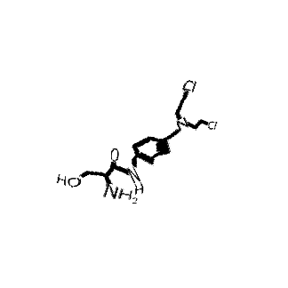 NC(CO)C(=O)Nc1ccc(N(CCCl)CCCl)cc1